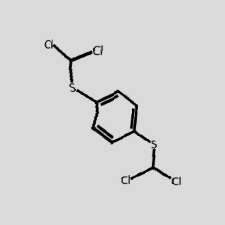 ClC(Cl)Sc1ccc(SC(Cl)Cl)cc1